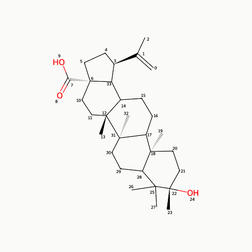 C=C(C)[C@@H]1CC[C@]2(C(=O)O)CC[C@]3(C)C(CCC4[C@@]5(C)CC[C@](C)(O)C(C)(C)C5CC[C@]43C)C12